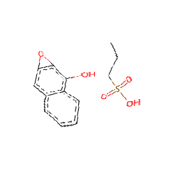 CCCS(=O)(=O)O.Oc1c2c(cc3ccccc13)O2